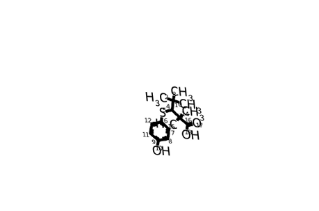 CC(C)(C)C(Sc1ccc(O)cc1)C(C)(C)C(=O)O